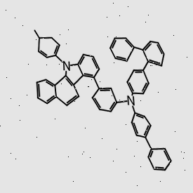 CC1C=CC(n2c3cccc(-c4cccc(N(c5ccc(-c6ccccc6)cc5)c5ccc(-c6ccccc6-c6ccccc6)cc5)c4)c3c3ccc4ccccc4c32)=CC1